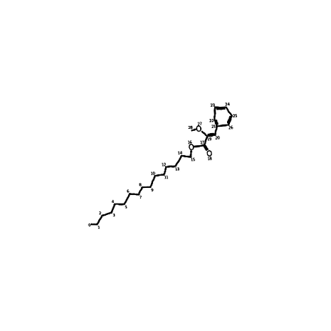 CCCCCCCCCCCCCCCCOC(=O)C(=Cc1ccccc1)OC